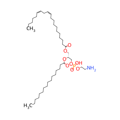 CCCCC/C=C\C/C=C\CCCCCCCCCC(=O)OC[C@H](COP(=O)(O)OCCN)OC(=O)CCCCCCCCCCCCCCC